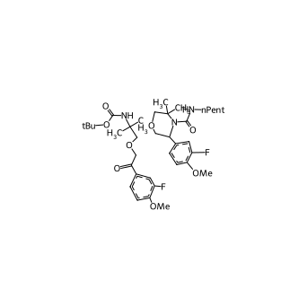 CCCCCNC(=O)N1C(c2ccc(OC)c(F)c2)COCC1(C)C.COc1ccc(C(=O)COCC(C)(C)NC(=O)OC(C)(C)C)cc1F